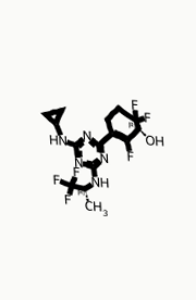 C[C@@H](Nc1nc(NC2CC2)nc(C2=C(F)[C@@H](O)C(F)(F)CC2)n1)C(F)(F)F